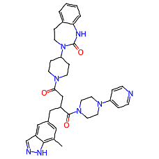 Cc1cc(CC(CC(=O)N2CCC(N3CCc4ccccc4NC3=O)CC2)C(=O)N2CCN(c3ccncc3)CC2)cc2cn[nH]c12